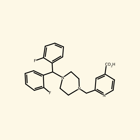 O=C(O)c1ccnc(CN2CCN(C(c3ccccc3F)c3ccccc3F)CC2)c1